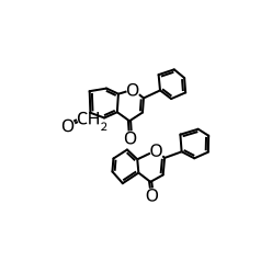 C=O.O=c1cc(-c2ccccc2)oc2ccccc12.O=c1cc(-c2ccccc2)oc2ccccc12